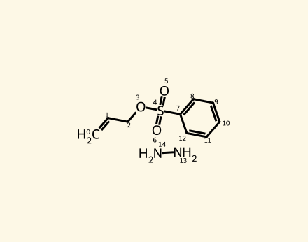 C=CCOS(=O)(=O)c1ccccc1.NN